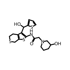 O=C(CN1CCCC(O)C1)Nc1sc2c(c1C(O)c1cccs1)CCSC2